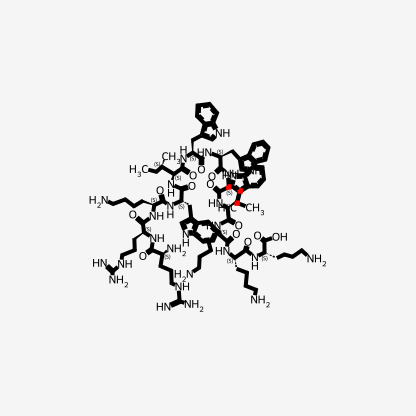 CC[C@H](C)[C@H](NC(=O)[C@H](Cc1c[nH]c2ccccc12)NC(=O)[C@H](CCCCN)NC(=O)[C@H](CCCNC(=N)N)NC(=O)[C@@H](N)CCCNC(=N)N)C(=O)N[C@@H](Cc1c[nH]c2ccccc12)C(=O)N[C@@H](Cc1c[nH]c2ccccc12)C(=O)N[C@@H](CC(C)C)C(=O)N[C@@H](Cc1c[nH]c2ccccc12)C(=O)N[C@@H](CCCCN)C(=O)N[C@@H](CCCCN)C(=O)N[C@@H](CCCCN)C(=O)O